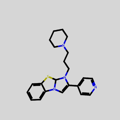 C1=C(c2ccncc2)N(CCCN2CCCCC2)C2Sc3ccccc3N12